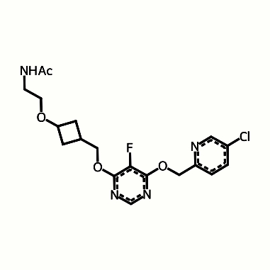 CC(=O)NCCOC1CC(COc2ncnc(OCc3ccc(Cl)cn3)c2F)C1